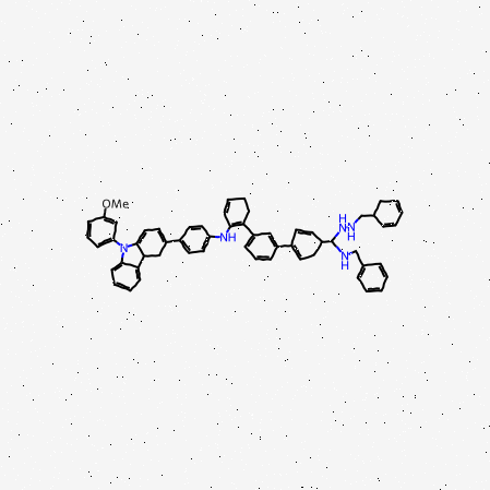 COc1cccc(N2C3=CC=C(c4ccc(NC5=C(c6cccc(C7=CCC(C(NCc8ccccc8)NNCC8C=CC=CC8)C=C7)c6)CCC=C5)cc4)CC3c3ccccc32)c1